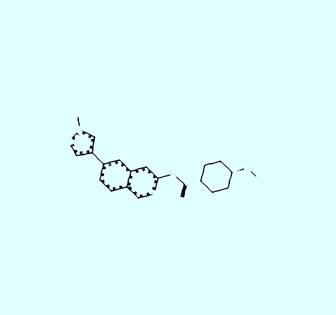 CO[C@H]1CC[C@H](C(=O)Nc2cc3cc(-c4cnn(C)c4)ccc3cn2)CC1